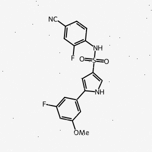 COc1cc(F)cc(-c2cc(S(=O)(=O)Nc3ccc(C#N)cc3F)c[nH]2)c1